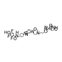 O=C1CCN(c2cnn3cc(CCCN4CCCN(c5ccc6cn([C@H]7CC[C@H](CNC(=O)c8cc(F)c(O)c(F)c8F)CC7)nc6c5)COCC4)ccc23)C(=O)N1